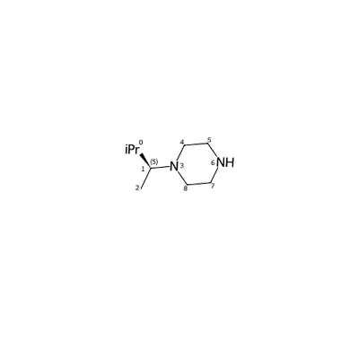 CC(C)[C@H](C)N1CCNCC1